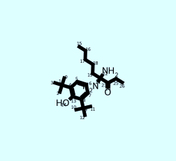 CC(C)(C)c1cccc(C(C)(C)C)c1O.CCCCCC(N)(N)C(=O)CC